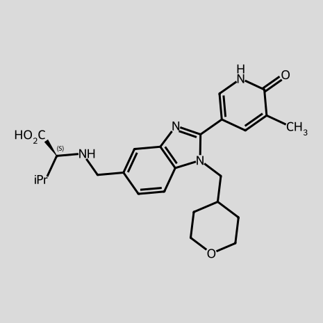 Cc1cc(-c2nc3cc(CN[C@H](C(=O)O)C(C)C)ccc3n2CC2CCOCC2)c[nH]c1=O